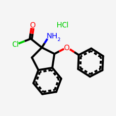 Cl.NC1(C(=O)Cl)Cc2ccccc2C1Oc1ccccc1